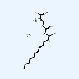 CCCCCCCCCCCC(=O)OC(=O)CC[C@H](N)C(=O)O.N